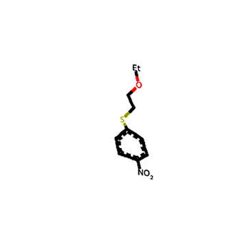 CCOCCSc1ccc([N+](=O)[O-])cc1